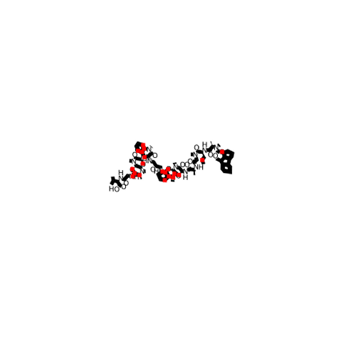 CC(C)C[C@H](NC(=O)[C@H](C)N(C)C(=O)OCC1c2ccccc2-c2ccccc21)C(=O)N(C)CC(=O)N[C@@H](C)C(=O)N[C@@H](CC(C)C)C(=O)N(C)[C@@H](Cc1ccccc1)C(=O)N(C)[C@@H](C)C(=O)NCC(=O)CN[C@@H](Cc1ccccc1)C(=O)N(C)[C@@H](C)C(=O)N[C@@H](C)C(=O)N(C)[C@@H](CC(C)C)C(=O)N(C)[C@@H](C)C(=O)NCC(=O)N[C@H](C(=O)O)C(C)C